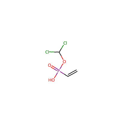 C=CP(=O)(O)OC(Cl)Cl